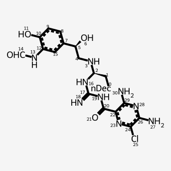 CCCCCCCCCCC[C@H](NC[C@H](O)c1ccc(O)c(NC=O)c1)NC(=N)NC(=O)c1nc(Cl)c(N)nc1N